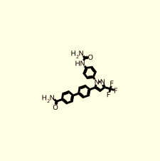 NC(=O)Nc1ccc(-n2nc(C(F)(F)F)cc2-c2ccc(-c3ccc(C(N)=O)cc3)cc2)cc1